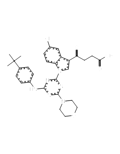 CC(C)(C)c1ccc(Nc2nc(N3CCOCC3)nc(-n3cc(C(=O)CCC(=O)O)c4cc(Cl)ccc43)n2)cc1